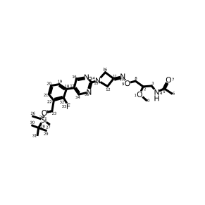 COC(CNC(C)=O)CON=C1CN(c2ncc(-c3cccc(CO[Si](C)(C)C(C)(C)C)c3F)cn2)C1